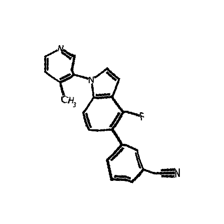 Cc1ccncc1-n1ccc2c(F)c(-c3cccc(C#N)c3)ccc21